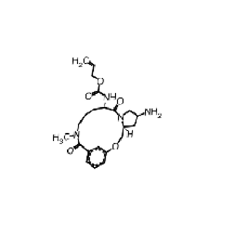 C=CCOC(=O)N[C@H]1CCCN(C)C(=O)c2cccc(c2)OC[C@@H]2C[C@H](N)CN2C1=O